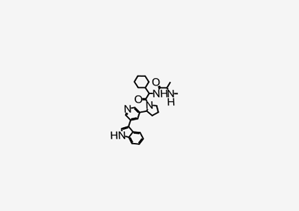 CNC(C)C(=O)NC(C(=O)N1CCCC1c1cncc(-c2c[nH]c3ccccc23)c1)C1CCCCC1